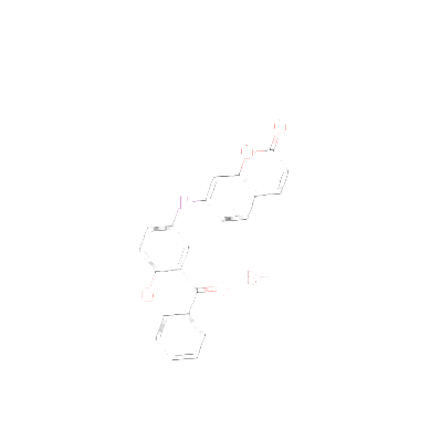 O=c1ccc2ccc([I+]c3ccc4oc5ccccc5c(=O)c4c3)cc2o1.[Br-]